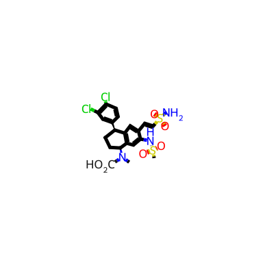 CN(C(=O)O)[C@H]1CC[C@@H](c2ccc(Cl)c(Cl)c2)c2cc(C=CS(N)(=O)=O)c(NS(C)(=O)=O)cc21